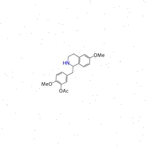 COc1ccc2c(c1)CCNC2Cc1ccc(OC)c(OC(C)=O)c1